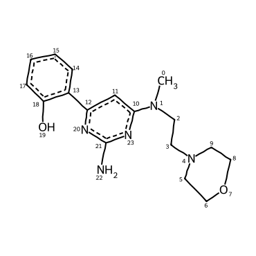 CN(CCN1CCOCC1)c1cc(-c2c[c]ccc2O)nc(N)n1